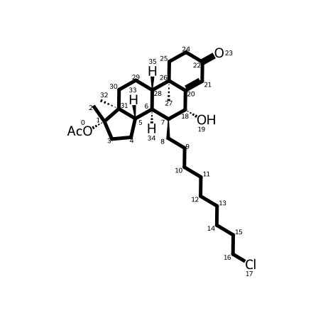 CC(=O)O[C@@]1(C)CC[C@H]2[C@@H]3[C@H](CCCCCCCCCCl)[C@@H](O)C4=CC(=O)CC[C@]4(C)[C@H]3CC[C@@]21C